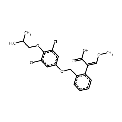 COC=C(C(=O)O)c1ccccc1COc1cc(Cl)c(OCC(C)C)c(Cl)c1